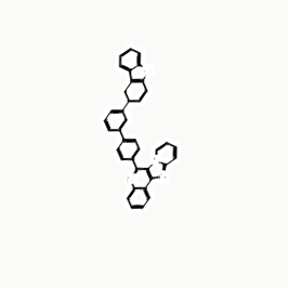 C1=CC(c2cccc(-c3ccc(-c4nc5ccccc5c5nc6ccccn6c45)cc3)c2)Cc2c1oc1ccccc21